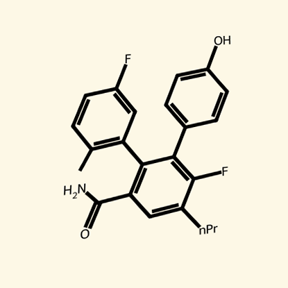 CCCc1cc(C(N)=O)c(-c2cc(F)ccc2C)c(-c2ccc(O)cc2)c1F